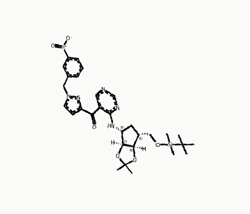 CC1(C)O[C@@H]2[C@@H](CO[Si](C)(C)C(C)(C)C)C[C@@H](Nc3ncncc3C(=O)c3ccn(Cc4cccc([N+](=O)[O-])c4)n3)[C@@H]2O1